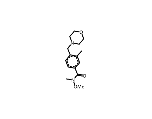 CON(C)C(=O)c1ccc(CN2CCOCC2)c(C)c1